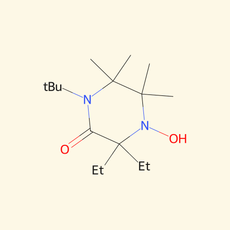 CCC1(CC)C(=O)N(C(C)(C)C)C(C)(C)C(C)(C)N1O